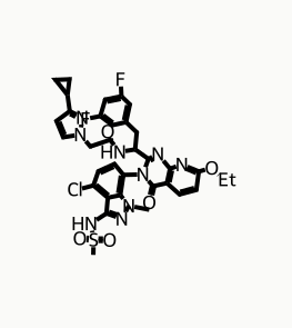 CCOc1ccc2c(=O)n(-c3ccc(Cl)c4c(NS(C)(=O)=O)nn(C)c34)c(C(Cc3cc(F)cc(F)c3)NC(=O)Cn3ccc(C4CC4)n3)nc2n1